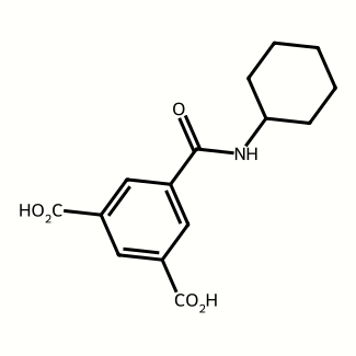 O=C(O)c1cc(C(=O)O)cc(C(=O)NC2CCCCC2)c1